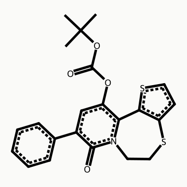 CC(C)(C)OC(=O)Oc1cc(-c2ccccc2)c(=O)n2c1-c1sccc1SCC2